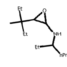 CCCC(CC)NC1OC1C(C)(CC)CC